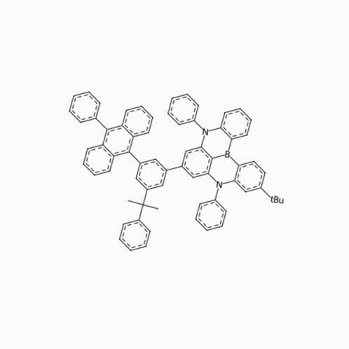 CC(C)(C)c1ccc2c(c1)N(c1ccccc1)c1cc(-c3cc(-c4c5ccccc5c(-c5ccccc5)c5ccccc45)cc(C(C)(C)c4ccccc4)c3)cc3c1B2c1ccccc1N3c1ccccc1